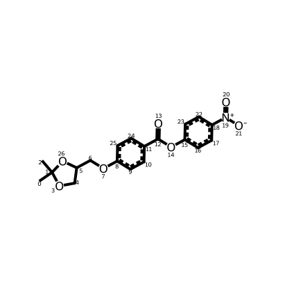 CC1(C)OCC(COc2ccc(C(=O)Oc3ccc([N+](=O)[O-])cc3)cc2)O1